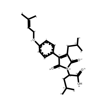 CC(C)=CCOc1ccc(C2=C(CC(C)C)C(=O)N(C(CC(C)C)C(=O)O)C2=O)cc1